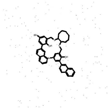 CC(C)(C)c1cc(CSC2CCCCCCC2SCc2cc(C(C)(C)C)cc(-c3ccc4ccccc4c3)c2O)c(O)c(-c2ccc3ccccc3c2)c1